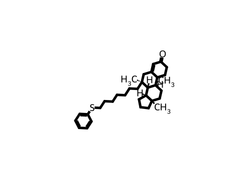 C[C@]1(CCCCCCCSc2ccccc2)CC2=CC(=O)CC[C@]2(C)[C@H]2CC[C@]3(C)CCC[C@H]3[C@@H]21